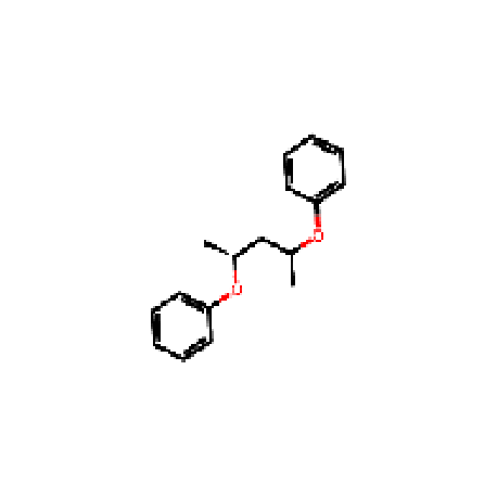 C[C@@H](C[C@H](C)Oc1ccccc1)Oc1ccccc1